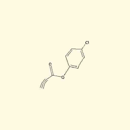 C#CC(=O)Oc1ccc(Cl)cc1